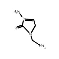 NCN1CC=S(N)C1=O